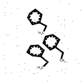 CCc1ccccc1.CCc1ccccc1.CCc1ccccc1